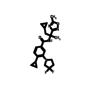 Cc1nc(C(C)(CC2CC2)NC(=O)c2ccc(C3CC3)c(N3CCC(F)(F)C3)c2)no1